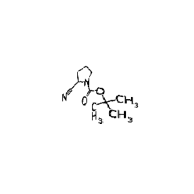 CC(C)(C)OC(=O)N1CCCC1C#N